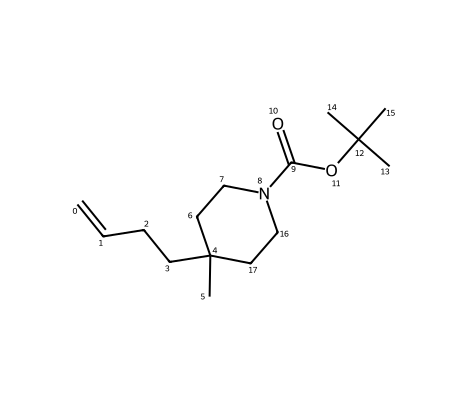 C=CCCC1(C)CCN(C(=O)OC(C)(C)C)CC1